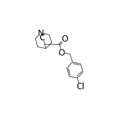 O=C(OCc1ccc(Cl)cc1)C1CN2CCC1CC2